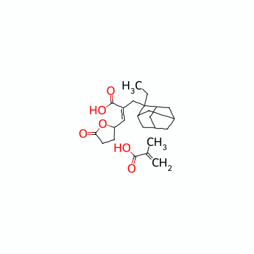 C=C(C)C(=O)O.CCC1(CC(=CC2CCC(=O)O2)C(=O)O)C2CC3CC(C2)CC1C3